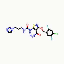 NC(=O)c1c(OCc2cc(F)c(Cl)cc2F)nsc1NC(=O)NCCCn1ccnc1